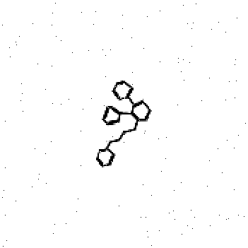 [CH](CCCc1cccc(-c2ccccc2)c1-c1ccccc1)c1ccccc1